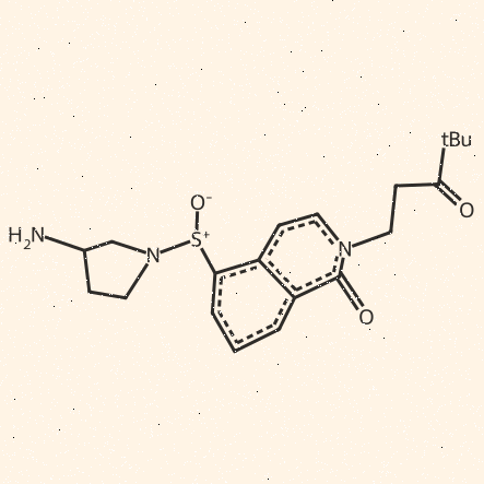 CC(C)(C)C(=O)CCn1ccc2c([S+]([O-])N3CCC(N)C3)cccc2c1=O